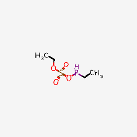 CCOS(=O)(=O)OPCC